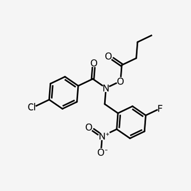 CCCC(=O)ON(Cc1cc(F)ccc1[N+](=O)[O-])C(=O)c1ccc(Cl)cc1